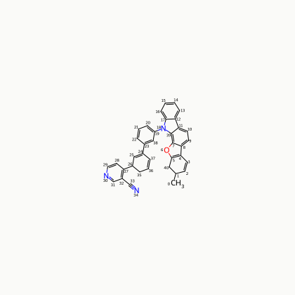 CC1C=Cc2c(oc3c2ccc2c4ccccc4n(-c4cccc(C5=CC(c6ccncc6C#N)CC=C5)c4)c23)C1